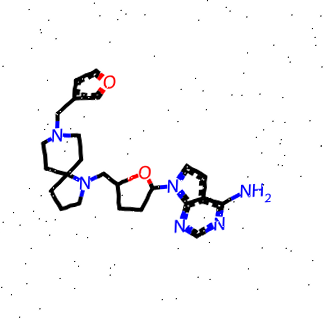 Nc1ncnc2c1ccn2C1CCC(CN2CCCC23CCN(Cc2ccoc2)CC3)O1